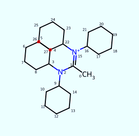 CC(N(C1CCCCC1)C1CCCCC1)=[N+](C1CCCCC1)C1CCCCC1